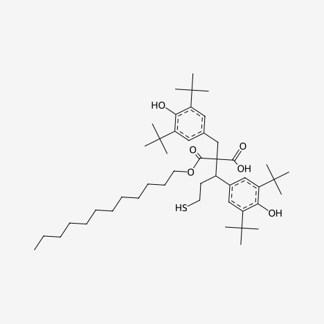 CCCCCCCCCCCCOC(=O)C(Cc1cc(C(C)(C)C)c(O)c(C(C)(C)C)c1)(C(=O)O)C(CCS)c1cc(C(C)(C)C)c(O)c(C(C)(C)C)c1